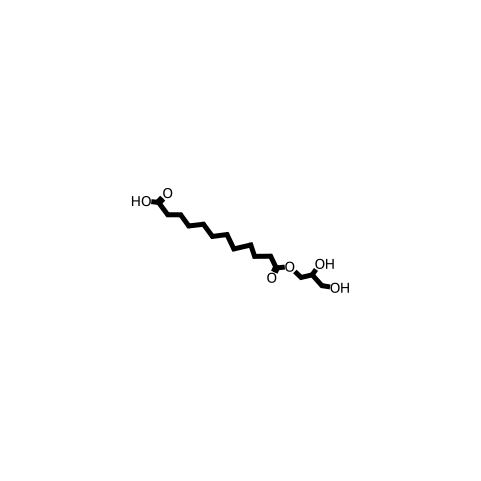 O=C(O)CCCCCCCCCCC(=O)OCC(O)CO